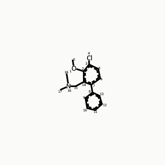 COc1c(Cl)ccc(-c2ccccc2)c1CN(C)C